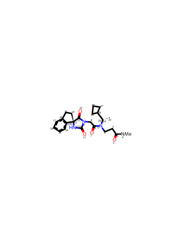 CNC(=O)CCN(C(=O)CN1C(=O)N[C@@]2(CCc3ccccc32)C1=O)[C@@H](C)C1CCC1